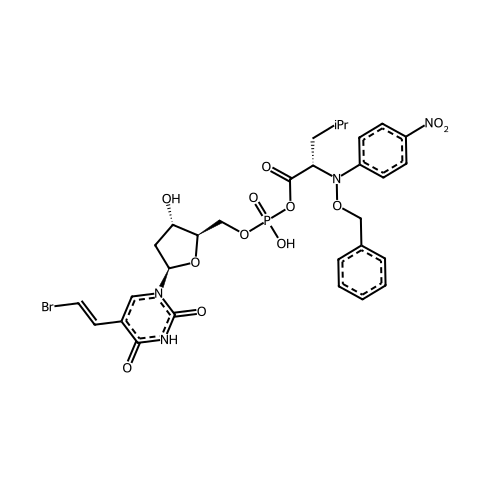 CC(C)C[C@@H](C(=O)OP(=O)(O)OC[C@H]1O[C@@H](n2cc(/C=C/Br)c(=O)[nH]c2=O)C[C@@H]1O)N(OCc1ccccc1)c1ccc([N+](=O)[O-])cc1